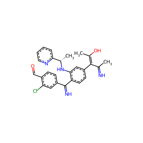 CC(=N)/C(=C(/C)O)c1ccc(C(=N)c2ccc(C=O)c(Cl)c2)c(N[C@@H](C)c2ccccn2)c1